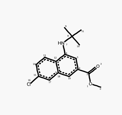 COC(=O)c1cc(NC(C)(C)C)c2ccc(Cl)cc2c1